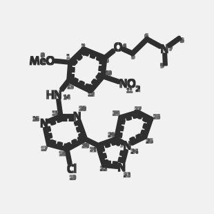 COc1cc(OCCN(C)C)c([N+](=O)[O-])cc1Nc1ncc(Cl)c(-c2cnn3ccccc23)n1